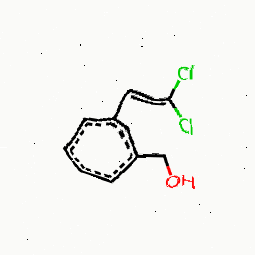 OCc1ccccc1C=C(Cl)Cl